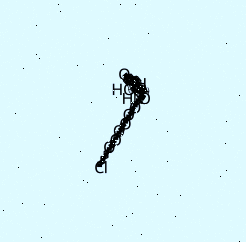 C[C@@H]1CC2[C@@H]3CCC4=CC(=O)C=C[C@]4(C)C3[C@@H](O)C[C@]2(C)C1C(=O)NCCOCCOCCOCCOCCOCCOCCCCCCCl